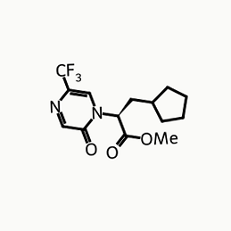 COC(=O)[C@H](CC1CCCC1)n1cc(C(F)(F)F)ncc1=O